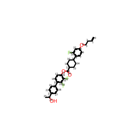 C=CCCOc1ccc(C2CCC(C(=O)Oc3ccc(-c4ccc(C(C)O)cc4)c(F)c3F)CC2)c(F)c1